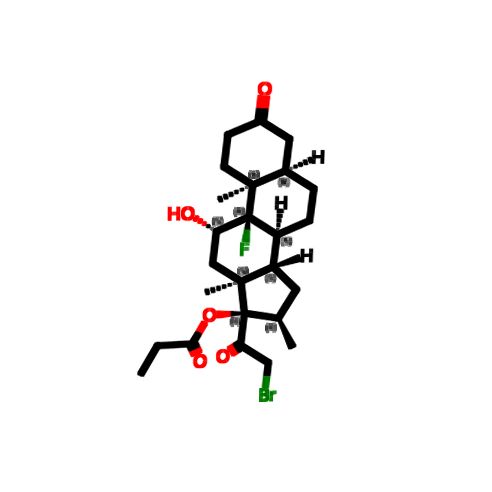 CCC(=O)O[C@]1(C(=O)CBr)[C@H](C)C[C@H]2[C@@H]3CC[C@@H]4CC(=O)CC[C@]4(C)[C@@]3(F)[C@@H](O)C[C@@]21C